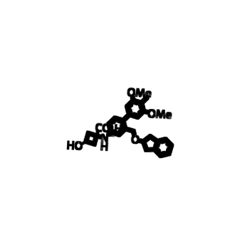 COc1cc(-c2ccc(N[C@]3(C(=O)O)C[C@H](O)C3)cc2COC2Cc3ccccc3C2)cc(OC)c1C